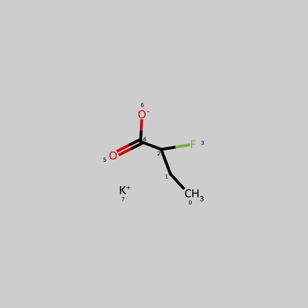 CCC(F)C(=O)[O-].[K+]